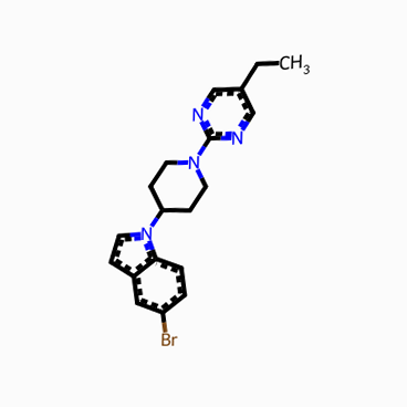 CCc1cnc(N2CCC(n3ccc4cc(Br)ccc43)CC2)nc1